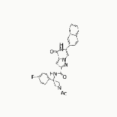 CC(=O)N1CC(NC(=O)c2cc3c(=O)[nH]c(-c4ccc5ccccc5c4)cn3n2)(c2ccc(F)cc2)C1